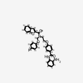 Nc1ccccc1NC(=O)c1ccc(OCCN(COc2ccc(F)cc2)C(=O)c2cc3ccccc3o2)cc1